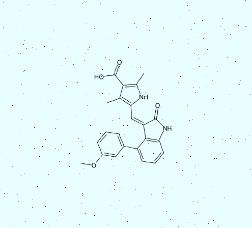 COc1cccc(-c2cccc3c2C(=Cc2[nH]c(C)c(C(=O)O)c2C)C(=O)N3)c1